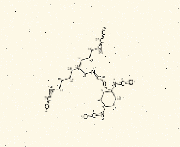 O=C=NC1CCC(N=C=O)CC1.O=C=NCCCCC(CCCN=C=O)CN=C=O